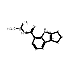 C[C@@H](NC(=O)c1cccc2c3c([nH]c12)CCC3)C(=O)O